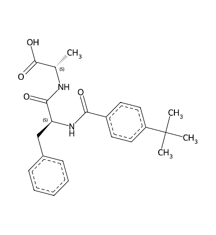 C[C@H](NC(=O)[C@H](Cc1ccccc1)NC(=O)c1ccc(C(C)(C)C)cc1)C(=O)O